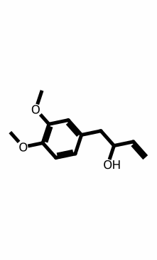 C=CC(O)Cc1ccc(OC)c(OC)c1